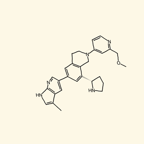 COCc1cc(N2CCc3cc(-c4cnc5[nH]cc(C)c5c4)cc([C@@H]4CCCN4)c3C2)ccn1